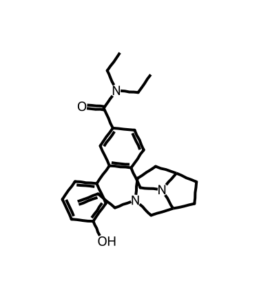 C=CCN1CCC2CCC(C1)N2Cc1ccc(C(=O)N(CC)CC)cc1-c1cccc(O)c1